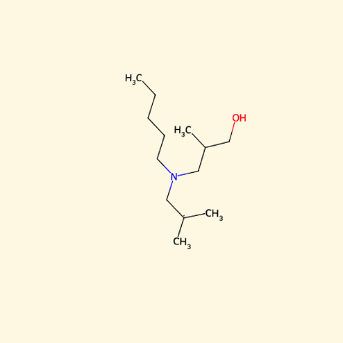 CCCCCN(C[C](C)C)CC(C)CO